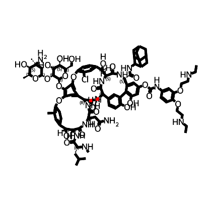 CCNCCOc1ccc(NC(=O)Oc2cc(O)c3c(c2)[C@@H](C(=O)NC2C4CC5CC(C4)CC2C5)NC(=O)[C@H]2NC(=O)[C@H](NC(=O)[C@@H]4NC(=O)[C@H](CC(N)=O)NC(=O)[C@H](NC(=O)[C@@H](CC(C)C)NC)[C@H](O)C5=CC(C)=C(CC5)Oc5cc4cc(c5O[C@@H]4O[C@H](CO)[C@@H](O)[C@H](O)[C@H]4O[C@H]4C[C@](C)(N)[C@H](O)[C@H](C)O4)Oc4ccc(cc4Cl)[C@H]2O)c2ccc(O)c-3c2)cc1OCCNCC